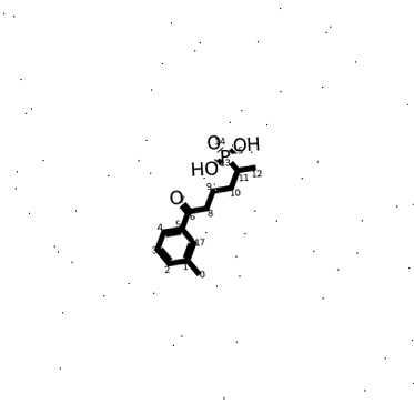 Cc1cccc(C(=O)CCCC(C)P(=O)(O)O)c1